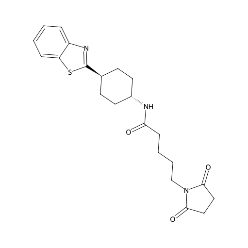 O=C(CCCCN1C(=O)CCC1=O)N[C@H]1CC[C@H](c2nc3ccccc3s2)CC1